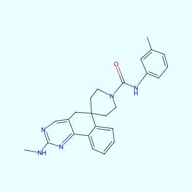 CNc1ncc2c(n1)-c1ccccc1C1(CCN(C(=O)Nc3cccc(C)c3)CC1)C2